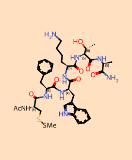 CSSC[C@H](NC(C)=O)C(=O)N[C@@H](Cc1ccccc1)C(=O)N[C@H](Cc1c[nH]c2ccccc12)C(=O)N[C@@H](CCCCN)C(=O)N[C@H](C(=O)N[C@@H](C)C(N)=O)[C@@H](C)O